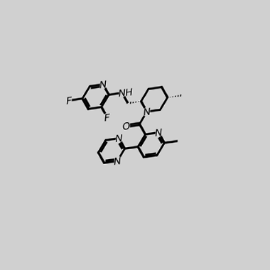 Cc1ccc(-c2ncccn2)c(C(=O)N2C[C@@H](C)CC[C@H]2CNc2ncc(F)cc2F)n1